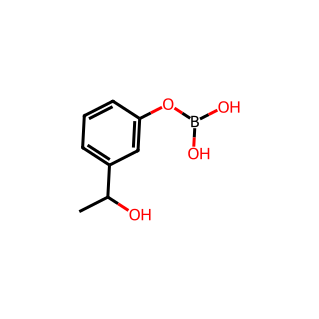 CC(O)c1cccc(OB(O)O)c1